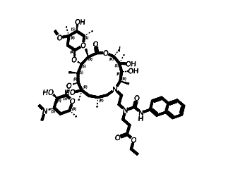 CCOC(=O)CCN(CCN1C[C@H](C)C[C@@](C)(O)[C@H](O[C@@H]2O[C@H](C)C[C@H](N(C)C)[C@H]2O)[C@@H](C)[C@H](O[C@H]2C[C@@](C)(OC)[C@@H](O)[C@H](C)O2)[C@@H](C)C(=O)O[C@H](I)[C@@](C)(O)[C@H](O)[C@H]1C)C(=O)Nc1ccc2ccccc2c1